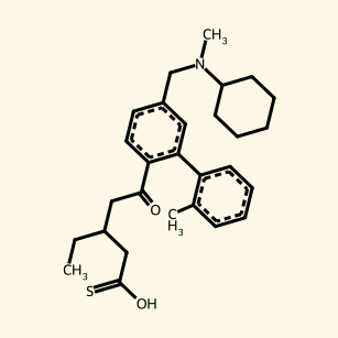 CCC(CC(=O)c1ccc(CN(C)C2CCCCC2)cc1-c1ccccc1C)CC(O)=S